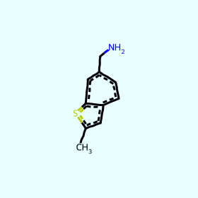 Cc1cc2ccc(CN)cc2s1